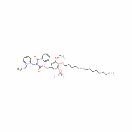 CCCCCCCCCCCCCCOc1c(OC)cc(COC(=O)N(Cc2cccc[n+]2CC)C(=O)c2ccccc2)cc1OC.[I-]